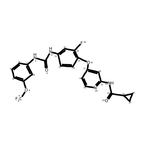 O=C(Nc1cccc(OC(F)(F)F)c1)Nc1ccc(Oc2ccnc(NC(=O)C3CC3)c2)c(F)c1